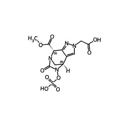 COC(=O)[C@@H]1c2nn(CC(=O)O)cc2[C@@H]2CN1C(=O)N2OS(=O)(=O)O